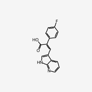 O=C(O)/C(=C\c1c[nH]c2ncccc12)c1ccc(F)cc1